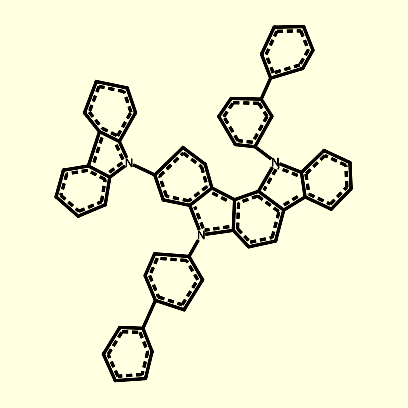 c1ccc(-c2ccc(-n3c4cc(-n5c6ccccc6c6ccccc65)ccc4c4c3ccc3c5ccccc5n(-c5cccc(-c6ccccc6)c5)c34)cc2)cc1